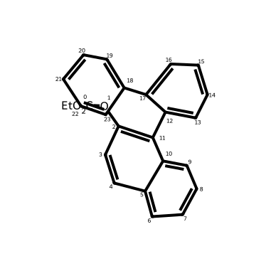 CCOC(=O)Oc1ccc2ccccc2c1-c1ccccc1-c1ccccc1